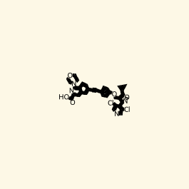 O=C(O)c1cc2cc(C#CC34CCC(OCc5c(-c6c(Cl)cncc6Cl)noc5C5CC5)(CC3)CC4)ccc2c(N2CCOCC2)n1